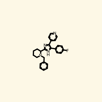 Fc1ccc(-c2[nH]c(C3CCCCN3Cc3ccccc3)nc2-c2ccncc2)cc1